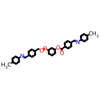 Cc1ccc(/N=C/c2ccc(COOc3cccc(OC(=O)c4ccc(/C=N/c5ccc(C)cc5)cc4)c3)cc2)cc1